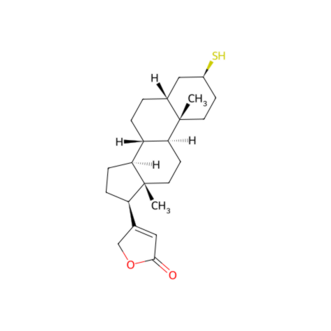 C[C@]12CC[C@H](S)C[C@H]1CC[C@@H]1[C@@H]2CC[C@]2(C)[C@@H](C3=CC(=O)OC3)CC[C@@H]12